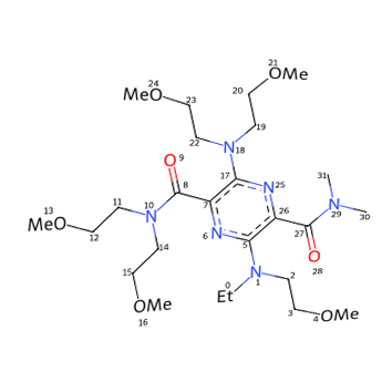 CCN(CCOC)c1nc(C(=O)N(CCOC)CCOC)c(N(CCOC)CCOC)nc1C(=O)N(C)C